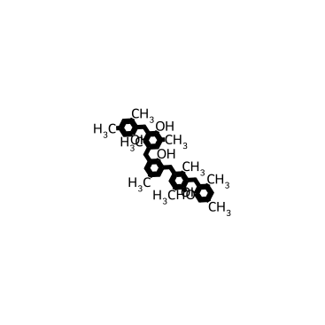 Cc1cc(C)c(Cc2c(C)c(Cc3cc(C)cc(Cc4cc(C)c(O)c(Cc5c(C)cc(C)cc5O)c4C)c3O)cc(C)c2O)c(O)c1